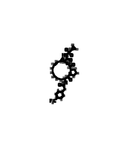 O=C(Cc1ccc(C(F)(F)F)cc1)NC1CCCCC/C=C\C2CC2(C(=O)NS(=O)(=O)C2CC2)NC(=O)C2CCCN2C1=O